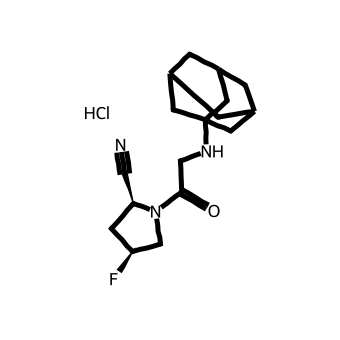 Cl.N#C[C@@H]1C[C@H](F)CN1C(=O)CNC12CC3CC(CC(C3)C1)C2